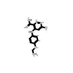 CCOc1ccc(Nc2cc(Cl)nnc2C(=O)O)cc1